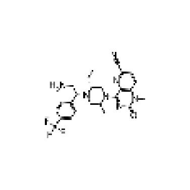 CC[C@@H]1CN(c2nc(=O)n(C)c3ccc(C#N)nc23)[C@@H](C)CN1C(CN)c1ccc(C(F)(F)F)cc1